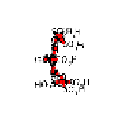 CC(C)(C)OC(=O)NCCOc1c(OCCCCc2cn(CCCNC(=O)c3cc(OCCCS(=O)(=O)O)c(OCCCS(=O)(=O)O)c(OCCCS(=O)(=O)O)c3)nn2)cc(C(=O)O)cc1OCCCCc1cn(CCCNC(=O)c2cc(OCCCS(=O)(=O)O)c(OCCCS(=O)(=O)O)c(OCCCS(=O)(=O)O)c2)nn1